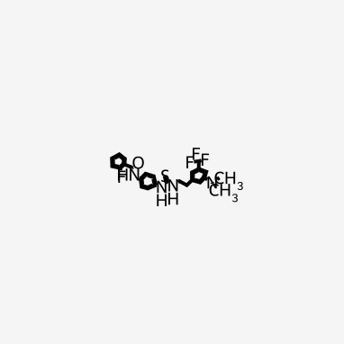 CN(C)c1cc(CCNC(=S)Nc2ccc(NC(=O)c3ccccc3F)cc2)cc(C(F)(F)F)c1